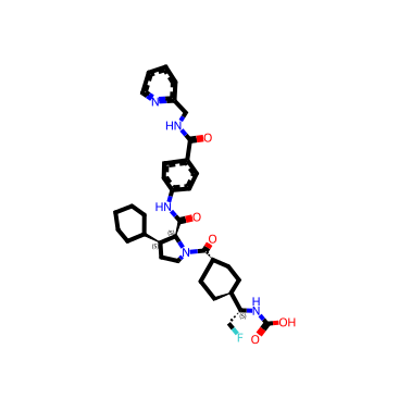 O=C(O)N[C@H](CF)[C@H]1CC[C@H](C(=O)N2CC[C@@H](C3CCCCC3)[C@H]2C(=O)Nc2ccc(C(=O)NCc3ccccn3)cc2)CC1